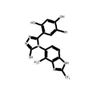 Cc1c(-n2c(S)nnc2-c2cc(C(C)C)c(O)cc2O)ccc2[nH]c(C(F)(F)F)nc12